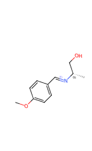 COc1ccc(/C=N/[C@@H](C)CO)cc1